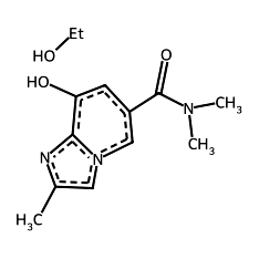 CCO.Cc1cn2cc(C(=O)N(C)C)cc(O)c2n1